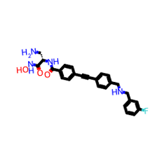 NC[C@H](NC(=O)c1ccc(C#Cc2ccc(CNCc3cccc(F)c3)cc2)cc1)C(=O)NO